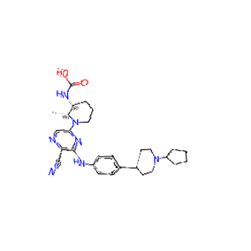 C[C@@H]1[C@H](NC(=O)O)CCCN1c1cnc(C#N)c(Nc2ccc(C3CCN(C4CCCC4)CC3)cc2)n1